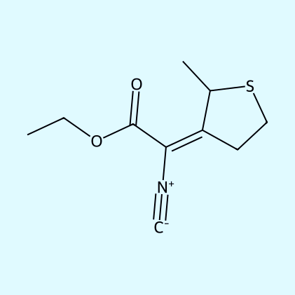 [C-]#[N+]C(C(=O)OCC)=C1CCSC1C